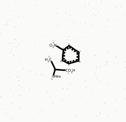 CCCCCCC(C)C(=O)O.O=[N+]([O-])c1ccccc1